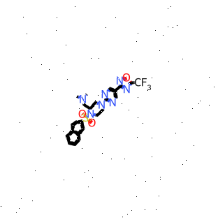 CN(C)CC1CN(c2ncc(-c3noc(C(F)(F)F)n3)cn2)CCN1S(=O)(=O)c1ccc2ccccc2c1